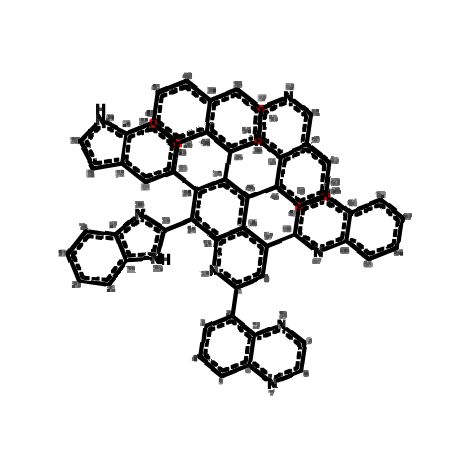 [c]1c(-c2cccc3nccnc23)nc2c(-c3nc4ccccc4[nH]3)c(-c3ccc4[nH]ccc4c3)c(-c3nccc4ccccc34)c(-c3cccc4cnccc34)c2c1-c1cnc2ccccc2n1